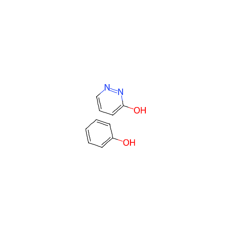 Oc1ccccc1.Oc1cccnn1